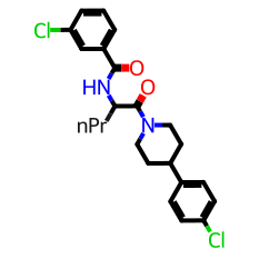 CCCC(NC(=O)c1cccc(Cl)c1)C(=O)N1CCC(c2ccc(Cl)cc2)CC1